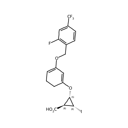 O=C(O)[C@@H]1[C@@H](I)[C@H]1OC1=CC(OCc2ccc(C(F)(F)F)cc2F)=CCC1